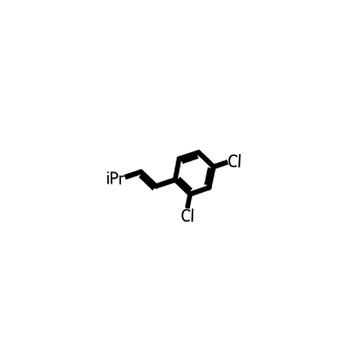 CC(C)/C=C/c1ccc(Cl)cc1Cl